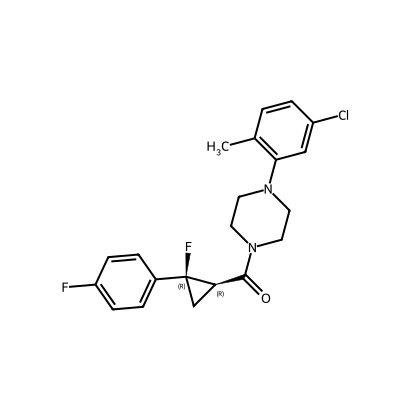 Cc1ccc(Cl)cc1N1CCN(C(=O)[C@H]2C[C@]2(F)c2ccc(F)cc2)CC1